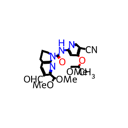 COCC(C)Oc1cc(NC(=O)N2CCCc3cc(C=O)c(C(OC)OC)nc32)ncc1C#N